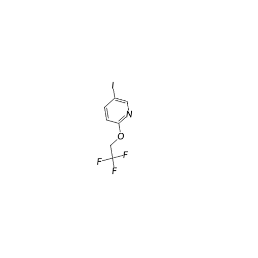 FC(F)(F)COc1ccc(I)cn1